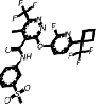 Cc1c(C(F)(F)F)nnc(Oc2ccc(C3(C(F)(F)F)CCC3)nc2F)c1C(=O)Nc1cccc(S(C)(=O)=O)c1